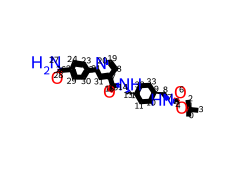 CC(C)(C)OC(=O)NC[C@H]1CC[C@H](CNC(=O)c2ccnc(-c3ccc(C(N)=O)cc3)c2)CC1